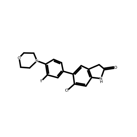 O=C1Cc2cc(-c3ccc(N4CCOCC4)c(F)c3)c(Cl)cc2N1